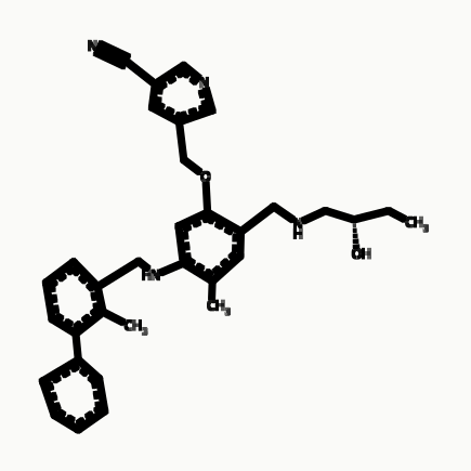 CC[C@H](O)CNCc1cc(C)c(NCc2cccc(-c3ccccc3)c2C)cc1OCc1cncc(C#N)c1